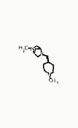 CN1CCC(CN2CC3CC2CN3C)CC1